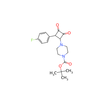 CC(C)(C)OC(=O)N1CCN(C2C(=O)C(=O)C2c2ccc(F)cc2)CC1